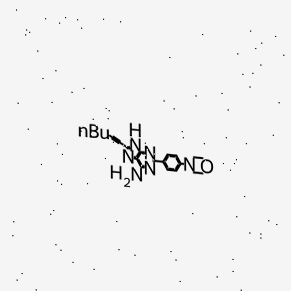 CCCCC#Cc1nc2c(N)nc(-c3ccc(N4CCOCC4)cc3)nc2[nH]1